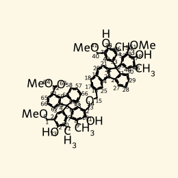 COCc1cc(C2(c3cc(C)c(O)c(COCc4ccc5ccc6c(c5c4)-c4ccccc4C6(c4cc(C)c(O)c(COC)c4)c4cc(C)c(O)c(COC)c4)c3)c3ccccc3-c3c(C(=O)OC)cccc32)cc(C)c1O